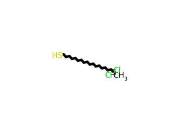 C[Si](Cl)(Cl)CCCCCCCCCCCCCCCCCS